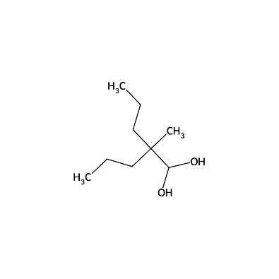 CCCC(C)(CCC)C(O)O